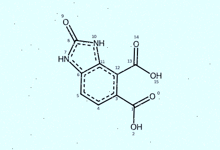 O=C(O)c1ccc2[nH]c(=O)[nH]c2c1C(=O)O